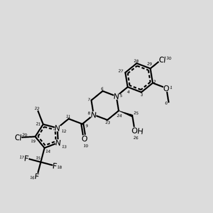 COc1cc(N2CCN(C(=O)Cn3nc(C(F)(F)F)c(Cl)c3C)C[C@@H]2CO)ccc1Cl